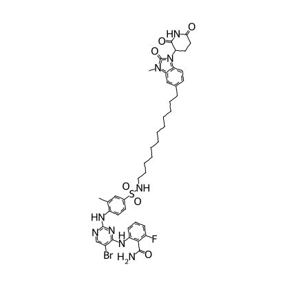 Cc1cc(S(=O)(=O)NCCCCCCCCCCCCc2ccc3c(c2)n(C)c(=O)n3C2CCC(=O)NC2=O)ccc1Nc1ncc(Br)c(Nc2cccc(F)c2C(N)=O)n1